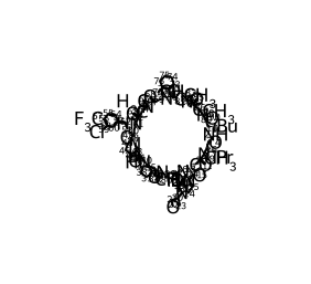 CC[C@H](C)[C@@H]1NC(=O)[C@H](CC(C)C)N(C)C(=O)C[C@@H](C(=O)N2CCN(C3COC3)CC2)NC(=O)[C@H]([C@@H](C)CC)N(C)C(=O)C2(CCCC2)NC(=O)[C@@H]2CCCN2C(=O)[C@H](CCc2ccc(C(F)(F)F)c(Cl)c2)NC(=O)CN(C)C(=O)[C@H](CC2CCCCC2)N(C)C(=O)CN(C)C(=O)CN(C)C1=O